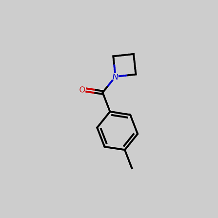 Cc1ccc(C(=O)N2CCC2)cc1